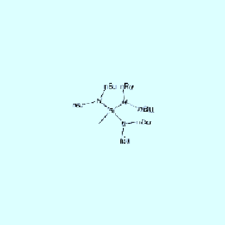 CCCCN(CCCC)[Si](C)(N(CCCC)CCCC)N(CCCC)CCCC